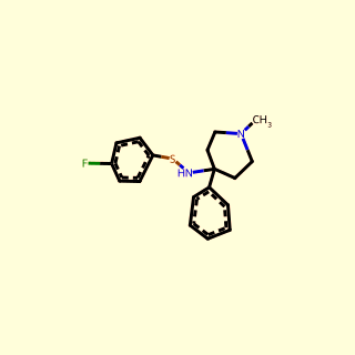 CN1CCC(NSc2ccc(F)cc2)(c2ccccc2)CC1